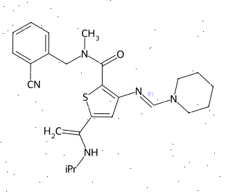 C=C(NC(C)C)c1cc(/N=C/N2CCCCC2)c(C(=O)N(C)Cc2ccccc2C#N)s1